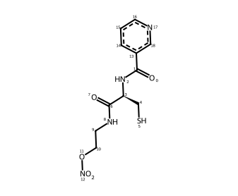 O=C(N[C@@H](CS)C(=O)NCCO[N+](=O)[O-])c1cccnc1